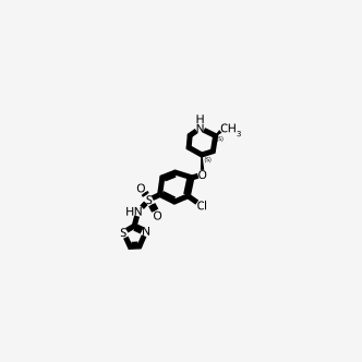 C[C@H]1C[C@@H](Oc2ccc(S(=O)(=O)Nc3nccs3)cc2Cl)CCN1